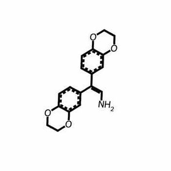 NC=C(c1ccc2c(c1)OCCO2)c1ccc2c(c1)OCCO2